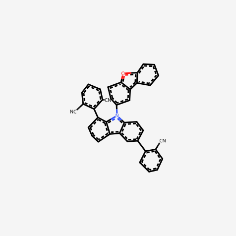 N#Cc1ccccc1-c1ccc2c(c1)c1cccc(-c3c(C#N)cccc3C#N)c1n2-c1ccc2oc3ccccc3c2c1